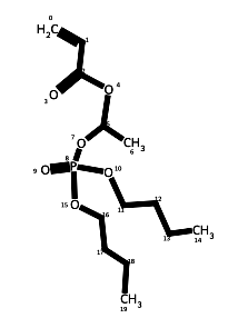 C=CC(=O)OC(C)OP(=O)(OCCCC)OCCCC